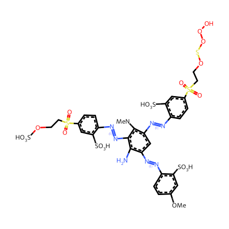 CNc1c(/N=N/c2ccc(S(=O)(=O)CCOSOOO)cc2S(=O)(=O)O)cc(/N=N/c2ccc(OC)cc2S(=O)(=O)O)c(N)c1/N=N/c1ccc(S(=O)(=O)CCOS(=O)(=O)O)cc1S(=O)(=O)O